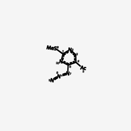 CSc1ncc(C(C)=O)c(N=[N+]=[N-])n1